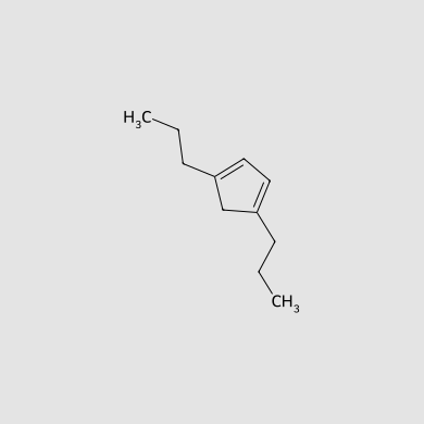 CCCC1=CC=C(CCC)C1